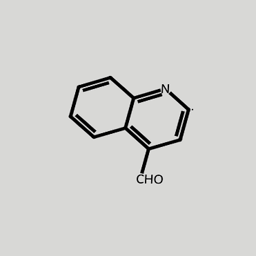 O=Cc1c[c]nc2ccccc12